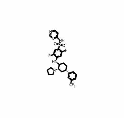 O=S(=O)(Nc1ccncn1)c1cc(F)c(NC2CC[C@H](c3cccc(C(F)(F)F)c3)C[C@@H]2N2CCCC2)cc1F